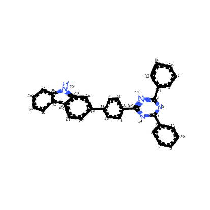 c1ccc(-c2nc(-c3ccccc3)nc(-c3ccc(-c4ccc5c(c4)[nH]c4ccccc45)cc3)n2)cc1